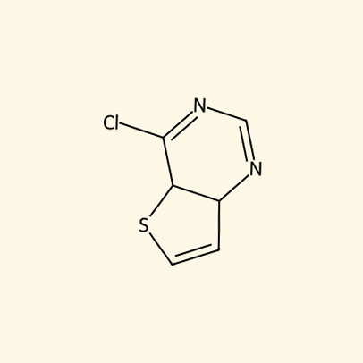 ClC1=NC=NC2C=CSC12